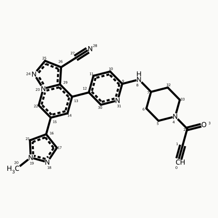 C#CC(=O)N1CCC(Nc2ccc(-c3cc(-c4cnn(C)c4)cn4ncc(C#N)c34)cn2)CC1